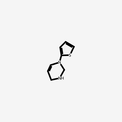 C1=CN(c2cccs2)CNC1